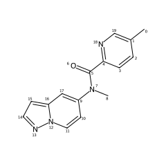 Cc1ccc(C(=O)N(C)c2ccn3nccc3c2)nc1